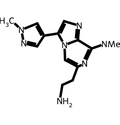 CNc1nc(CCN)cn2c(-c3cnn(C)c3)cnc12